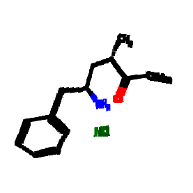 COC(=O)[C@@H](C)C[C@@H](N)Cc1ccccc1.Cl